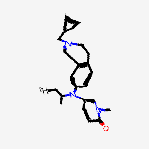 [2H]CC(C)N(c1ccc2c(c1)CN(CC1CC1)CC2)c1ccc(=O)n(C)c1